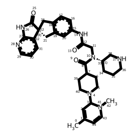 CC1=CC(N2CCC(C(=O)N(CC(=O)Nc3ccc4c(c3)C[C@@]3(C4)C(=O)Nc4ncccc43)[C@H]3CCCNC3)CC2)N(C)C=C1